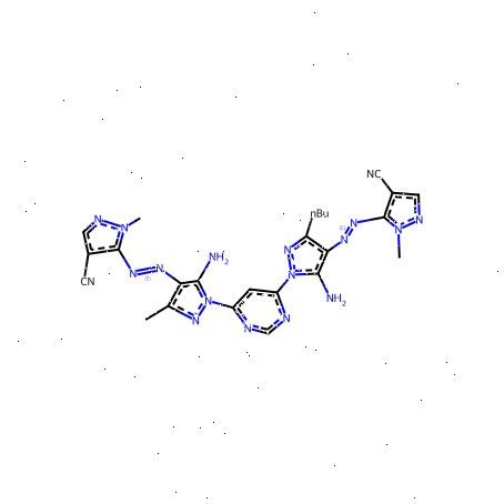 CCCCc1nn(-c2cc(-n3nc(C)c(/N=N/c4c(C#N)cnn4C)c3N)ncn2)c(N)c1/N=N/c1c(C#N)cnn1C